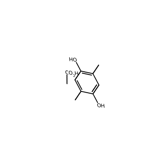 CC(=O)O.Cc1cc(O)c(C)cc1O